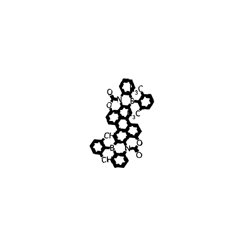 Cc1cccc(C)c1B1c2ccccc2N2C(=O)Oc3ccc4c5cc6c7c8c(ccc(c9cc1c2c3c49)c85)OC(=O)N7c1ccccc1B6c1c(C)cccc1C